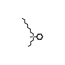 CCCCCCCC[Si](I)(CCCC)c1ccccc1